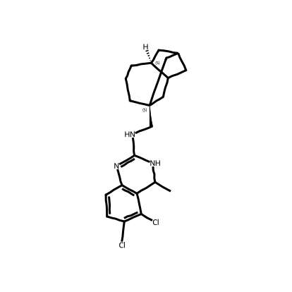 CC1NC(NC[C@]23CCC[C@H]4CC(CC4C2)C3)=Nc2ccc(Cl)c(Cl)c21